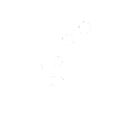 CC(c1ccc(-c2ccccc2)c(F)c1)c1noc(/N=C(\N)N2CCOCC2)c1CC(=O)O